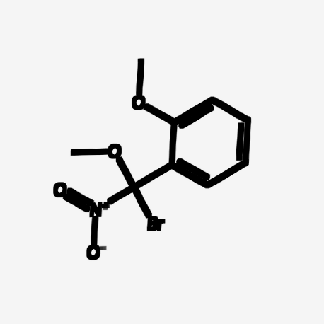 COc1ccccc1C(Br)(OC)[N+](=O)[O-]